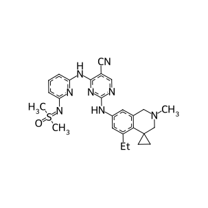 CCc1cc(Nc2ncc(C#N)c(Nc3cccc(N=S(C)(C)=O)n3)n2)cc2c1C1(CC1)CN(C)C2